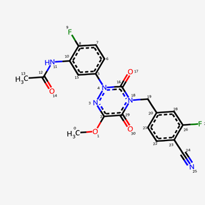 COc1nn(-c2ccc(F)c(NC(C)=O)c2)c(=O)n(Cc2ccc(C#N)c(F)c2)c1=O